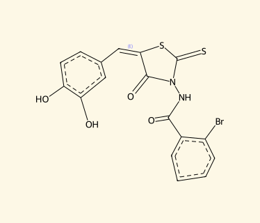 O=C(NN1C(=O)/C(=C\c2ccc(O)c(O)c2)SC1=S)c1ccccc1Br